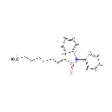 O=C(O)CCCCC/C=C1/C(=O)N(c2ccccc2)c2ccccc21